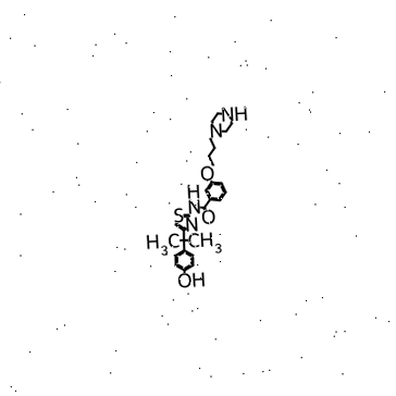 CC(C)(c1ccc(O)cc1)c1csc(NC(=O)c2cccc(OCCCCN3CCNCC3)c2)n1